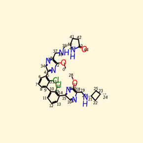 COc1nc(-c2cccc(-c3cccc(-c4cnc(CN[C@H]5C[C@@H](C)C5)c(OC)n4)c3Cl)c2Cl)cnc1CNC[C@@H]1CCC(=O)N1